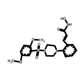 COc1ccc(OC)c(S(=O)(=O)N2CCN(c3ccccc3/C=C/C(=O)NO)CC2)c1